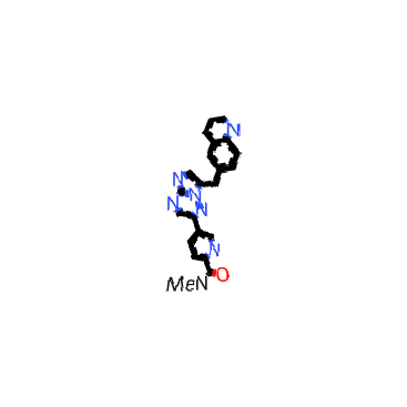 CNC(=O)c1ccc(-c2cnc3ncc(Cc4ccc5ncccc5c4)n3n2)cn1